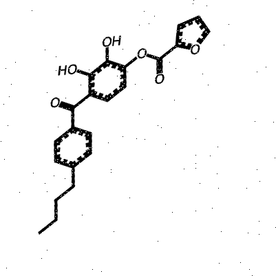 CCCCc1ccc(C(=O)c2ccc(OC(=O)c3ccco3)c(O)c2O)cc1